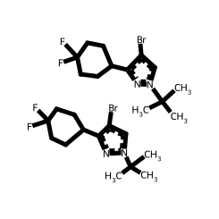 CC(C)(C)n1cc(Br)c(C2CCC(F)(F)CC2)n1.CC(C)(C)n1cc(Br)c(C2CCC(F)(F)CC2)n1